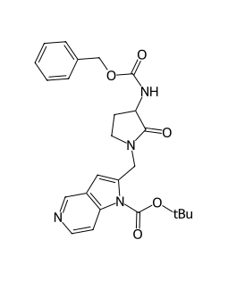 CC(C)(C)OC(=O)n1c(CN2CCC(NC(=O)OCc3ccccc3)C2=O)cc2cnccc21